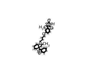 CCCC1(c2noc3ccccc23)C=CC=CC1OCCCCOc1cccc(C2(C)SC(=O)NC2=O)c1